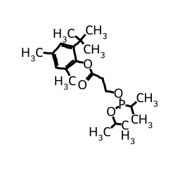 Cc1cc(C)c(OC(=O)CCOP(OC(C)C)C(C)C)c(C(C)(C)C)c1